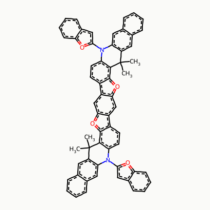 CC1(C)c2cc3ccccc3cc2N(c2cc3ccccc3o2)c2ccc3c(oc4cc5c(cc43)oc3c4c(ccc35)N(c3cc5ccccc5o3)c3cc5ccccc5cc3C4(C)C)c21